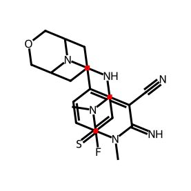 Cn1c(NC2CC3COCC(C2)N3Cc2ccc(F)cc2)c(C#N)c(=N)n(C)c1=S